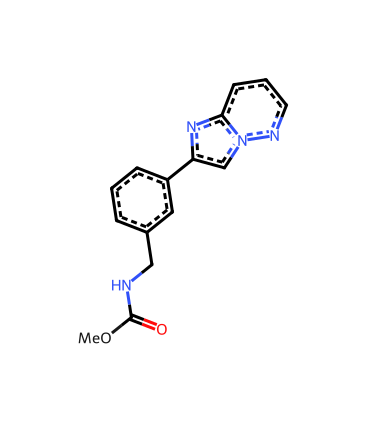 COC(=O)NCc1cccc(-c2cn3ncccc3n2)c1